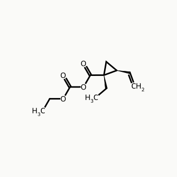 C=C[C@@H]1C[C@@]1(CC)C(=O)OC(=O)OCC